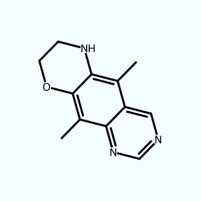 Cc1c2c(c(C)c3ncncc13)OCCN2